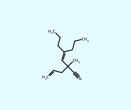 C=CCC(C)(C#N)C=C(CCC)CCC